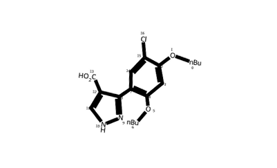 CCCCOc1cc(OCCCC)c(-c2n[nH]cc2C(=O)O)cc1Cl